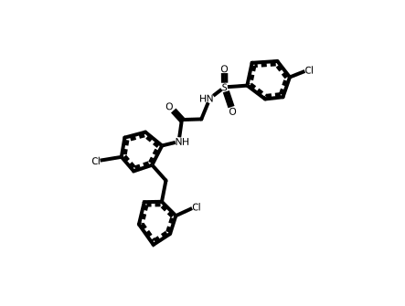 O=C(CNS(=O)(=O)c1ccc(Cl)cc1)Nc1ccc(Cl)cc1Cc1ccccc1Cl